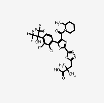 CC1CCCCN1C(=O)c1nc(-c2nnc(CC(C)(C)C(=O)O)o2)sc1-c1ccc(C(O)(C(F)(F)F)C(F)(F)F)c(Cl)c1Cl